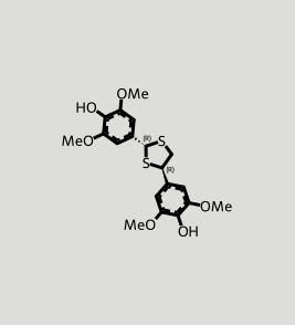 COc1cc([C@@H]2SC[C@@H](c3cc(OC)c(O)c(OC)c3)S2)cc(OC)c1O